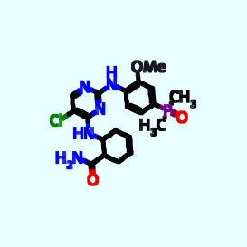 COc1cc(P(C)(C)=O)ccc1Nc1ncc(Cl)c(NC2CC=CCC2C(N)=O)n1